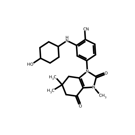 Cn1c2c(n(-c3ccc(C#N)c(NC4CCC(O)CC4)c3)c1=O)CC(C)(C)CC2=O